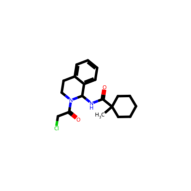 CC1(C(=O)NC2c3ccccc3CCN2C(=O)CCl)CCCCC1